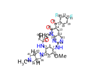 C=CC(=O)Nc1cc(Nc2ncc3cc(C(=O)c4ccc(F)cc4F)c(=O)n(C)c3n2)c(OC)cc1N1C[C@H]2CN(C)C[C@H]2C1